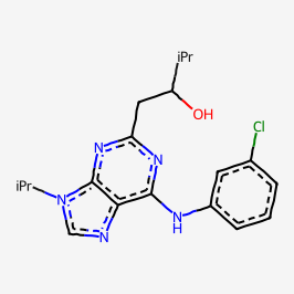 CC(C)C(O)Cc1nc(Nc2cccc(Cl)c2)c2ncn(C(C)C)c2n1